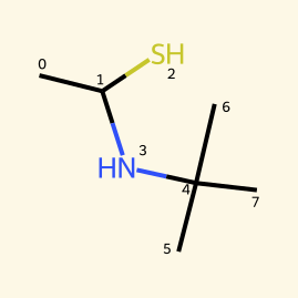 CC(S)NC(C)(C)C